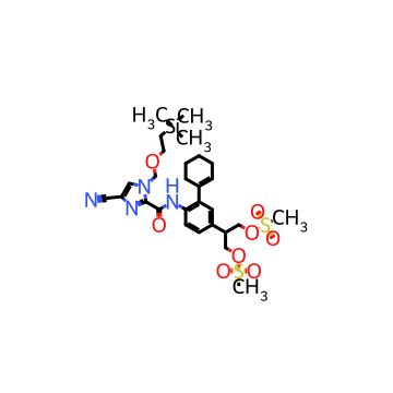 C[Si](C)(C)CCOCn1cc(C#N)nc1C(=O)Nc1ccc(C(COS(C)(=O)=O)COS(C)(=O)=O)cc1C1=CCCCC1